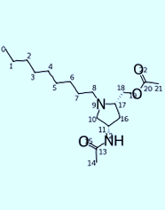 CCCCCCCCCN1C[C@@H](NC(C)=O)C[C@H]1COC(C)=O